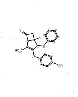 CC12CC(=O)N1C(C(=O)O)=C(Sc1ccc([N+](=O)[O-])cc1)C2Cc1ccccc1